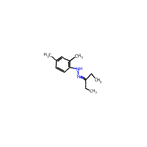 CCC(CC)=NNc1ccc(C)cc1C